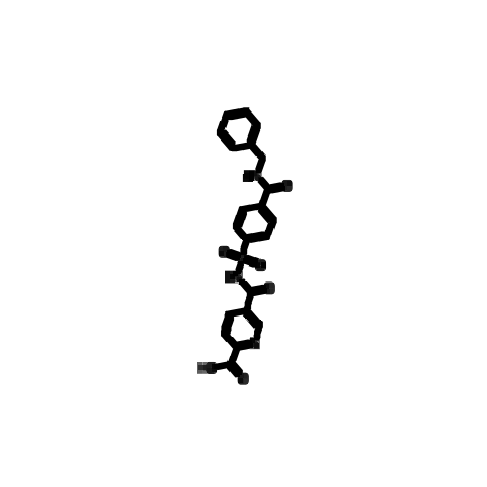 O=C(NCc1ccccc1)c1ccc(S(=O)(=O)NC(=O)c2ccc(C(=O)O)nc2)cc1